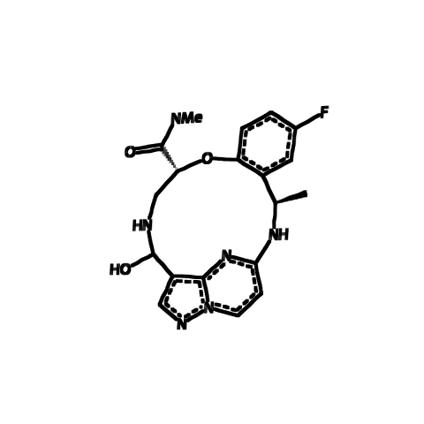 CNC(=O)[C@H]1CNC(O)c2cnn3ccc(nc23)N[C@H](C)c2cc(F)ccc2O1